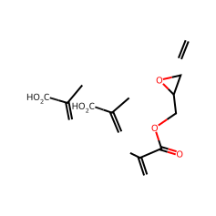 C=C.C=C(C)C(=O)O.C=C(C)C(=O)O.C=C(C)C(=O)OCC1CO1